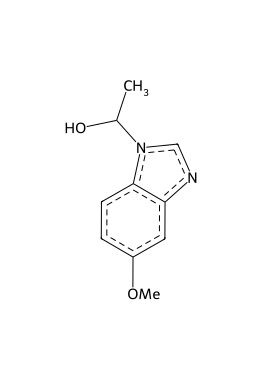 COc1ccc2c(c1)ncn2C(C)O